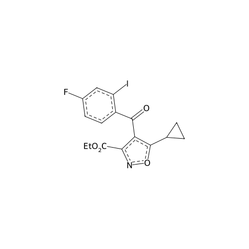 CCOC(=O)c1noc(C2CC2)c1C(=O)c1ccc(F)cc1I